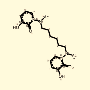 CC(=O)N(CCCCCCN(C(C)=O)n1cccc(O)c1=O)n1cccc(O)c1=O